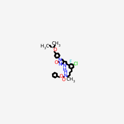 CCC[C@H](CC)OCc1ccc(-n2cc3cc(-c4cc(CCC[C@H](C)NC(=O)OCc5ccccc5)cc(Cl)c4F)[nH]c3nc2=O)cc1